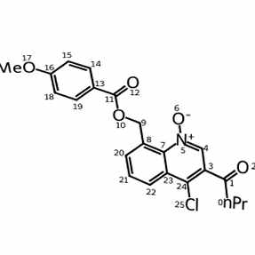 CCCC(=O)c1c[n+]([O-])c2c(COC(=O)c3ccc(OC)cc3)cccc2c1Cl